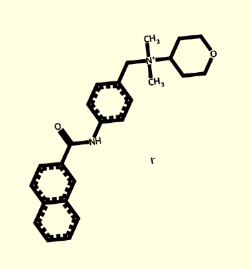 C[N+](C)(Cc1ccc(NC(=O)c2ccc3ccccc3c2)cc1)C1CCOCC1.[I-]